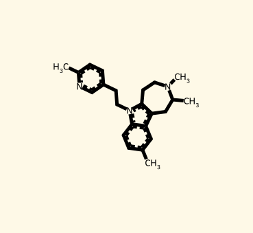 Cc1ccc2c(c1)c1c(n2CCc2ccc(C)nc2)CCN(C)C(C)C1